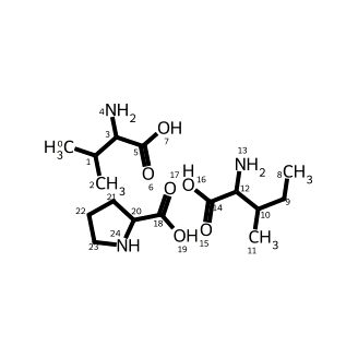 CC(C)C(N)C(=O)O.CCC(C)C(N)C(=O)O.O=C(O)C1CCCN1